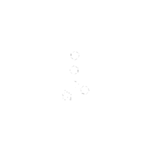 C1=NNN(CC2(c3ccccc3)COC(c3ccc(-c4ccccc4)cc3)=N2)N1